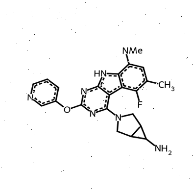 CNc1cc(C)c(F)c2c1[nH]c1nc(Oc3cccnc3)nc(N3CC4C(N)C4C3)c12